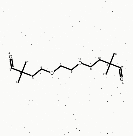 CC(C)(C=O)CCOCCOCCC(C)(C)C=O